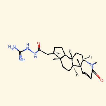 CN1C(=O)C=C[C@]2(C)[C@H]3CC[C@]4(C)[C@@H](CC(=O)NNC(=N)N)CC[C@H]4[C@@H]3CC[C@@H]12